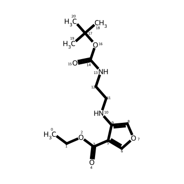 CCOC(=O)c1cocc1NCCNC(=O)OC(C)(C)C